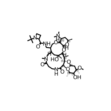 CO[C@]1(C)C[C@H](O[C@H]2[C@H](C)[C@H]3O[C@@H]4O[C@H](C)C[C@H](N(C)C)[C@H]4OCC(CNC(=O)C4CCN4C(C)(C)C)[C@@H](CN(C)C(=O)CCNC(=O)[C@@H]2C)C[C@@]3(C)O)O[C@@H](C)[C@@H]1O